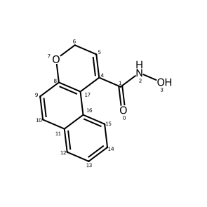 O=C(NO)C1=CCOc2ccc3ccccc3c21